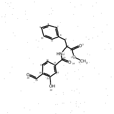 COC(=O)C(Cc1ccccc1)NC(=O)c1ccc(C=O)c(O)c1